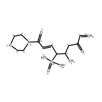 C=CC(=O)CC(C)C(C=CC(=O)N1CCOCC1)P(=O)(O)O